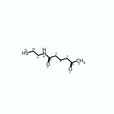 CC(=O)CCCC(=O)NCCS